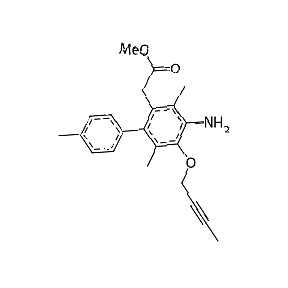 CC#CCOc1c(C)c(-c2ccc(C)cc2)c(CC(=O)OC)c(C)c1N